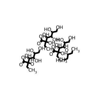 CCC(O)(C(=O)O)C(O)C(O)C(O)CO.CCC(O)(C(=O)O)C(O)C(O)C(O)CO.CCC(O)(C(=O)O)C(O)C(O)C(O)CO.CCC[CH2][SnH]